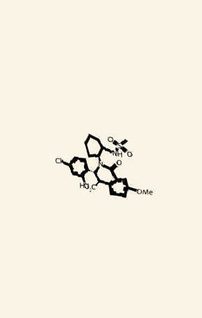 COc1ccc2c(c1)C(=O)N([C@H]1CCCCC1NS(C)(=O)=O)[C@@H](c1ccc(Cl)cc1Cl)[C@@H]2C(=O)O